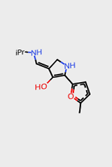 Cc1ccc(C2=C(O)/C(=C/NC(C)C)CN2)o1